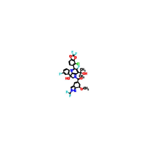 COc1cc(C(=O)NC[C@@](O)(c2cccc(F)c2)c2cc(C(C)(C)O)c(F)c(-c3ccc4c(c3Cl)OC(F)(F)O4)n2)cc2cn(C(F)F)nc12